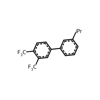 CC(C)c1cccc(-c2ccc(C(F)(F)F)c(C(F)(F)F)c2)c1